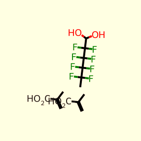 C=C(C)C(=O)O.C=C(C)C(=O)O.CC(F)(F)C(F)(F)C(F)(F)C(F)(F)C(O)O